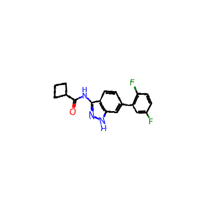 O=C(Nc1n[nH]c2cc(-c3cc(F)ccc3F)ccc12)C1CCC1